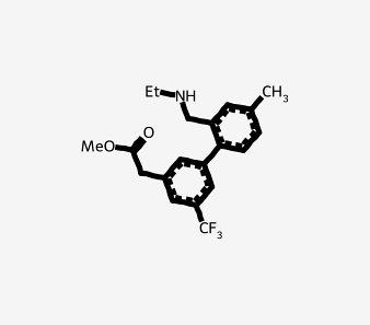 CCNCc1cc(C)ccc1-c1cc(CC(=O)OC)cc(C(F)(F)F)c1